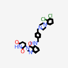 O=C1CCC(n2cnc3cccc(NCc4ccc(CN5CCN(c6cccc(Cl)c6Cl)CC5)cc4)c3c2=O)C(=O)N1